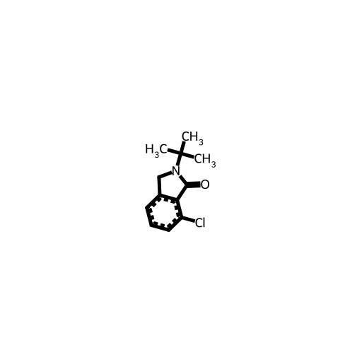 CC(C)(C)N1Cc2cccc(Cl)c2C1=O